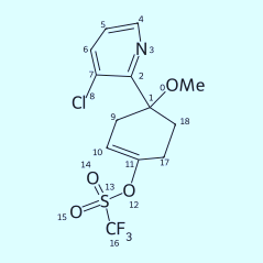 COC1(c2ncccc2Cl)CC=C(OS(=O)(=O)C(F)(F)F)CC1